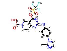 Cc1nccn1-c1ccc(Nc2nc3c(c(OS(=O)(=O)C(F)(F)F)n2)CN(C(=O)O)CC3)cc1